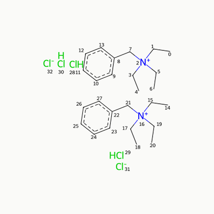 CC[N+](CC)(CC)Cc1ccccc1.CC[N+](CC)(CC)Cc1ccccc1.Cl.Cl.Cl.[Cl-].[Cl-]